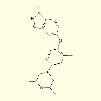 Cc1cc(N2CC(C)OC(C)C2)ccc1Nc1ccc2c(cnn2C)c1